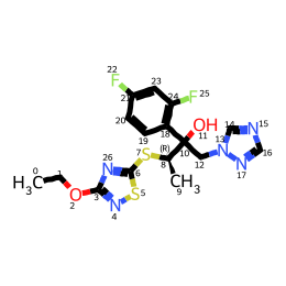 CCOc1nsc(S[C@H](C)C(O)(Cn2cncn2)c2ccc(F)cc2F)n1